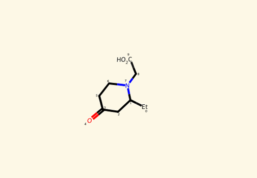 CCC1CC(=O)CCN1CC(=O)O